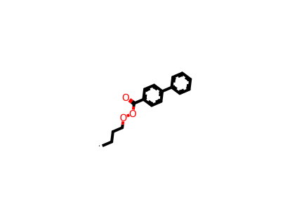 [CH2]CCCOOC(=O)c1ccc(-c2ccccc2)cc1